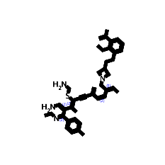 C=C(C#C/C(SCN)=C(C)/C(=C/N)C(=N\CC)/c1ccc(C)cc1)/C=C\C(=C/C)CN1CC(CCc2cccc(C(=C)C)c2CC)C1